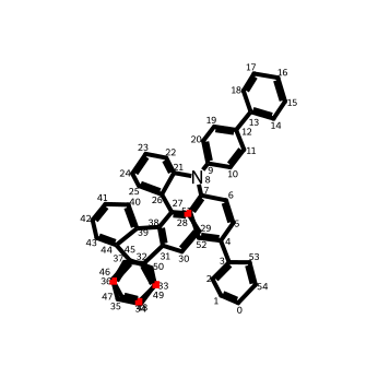 c1ccc(-c2ccc(N(c3ccc(-c4ccccc4)cc3)c3ccccc3-c3cccc(-c4ccccc4)c3-c3ccccc3-c3ccccc3)cc2)cc1